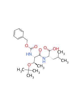 CC(C)C[C@H](NC(=O)[C@@H](NC(=O)OCc1ccccc1)[C@@H](C)OC(C)(C)C)C(=O)O